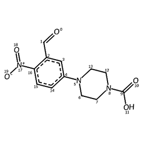 O=Cc1cc(N2CCN(C(=O)O)CC2)ccc1[N+](=O)[O-]